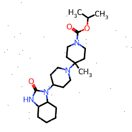 CC(C)OC(=O)N1CCC(C)(N2CCC(N3C(=O)NC4CCCCC43)CC2)CC1